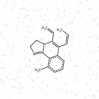 C=CC1=C(/C=C\C)c2cccc(C)c2C2=NCCN21